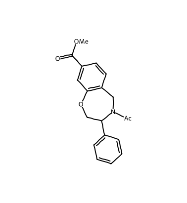 COC(=O)c1ccc2c(c1)OCC(c1ccccc1)N(C(C)=O)C2